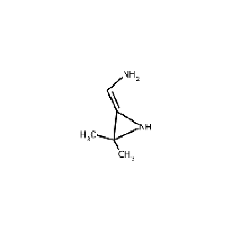 CC1(C)N/C1=C\N